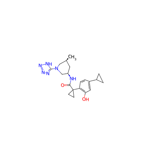 C[C@H]1C[C@@H](NC(=O)C2(c3ccc(C4CC4)cc3O)CC2)CN(c2nnn[nH]2)C1